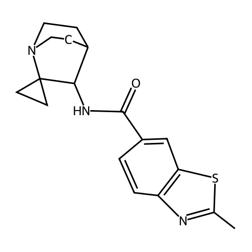 Cc1nc2ccc(C(=O)NC3C4CCN(CC4)C34CC4)cc2s1